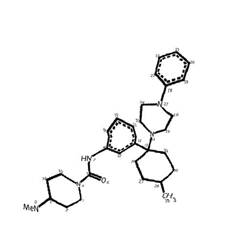 CNC1CCN(C(=O)Nc2cccc(C3(N4CCN(c5ccccc5)CC4)CCC(C)CC3)c2)CC1